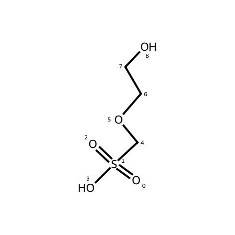 O=S(=O)(O)COCCO